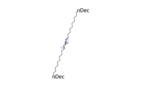 CCCCCCCCCCCCCCCCCCC/C=C/[P]/C=C/CCCCCCCCCCCCCCCCCCC